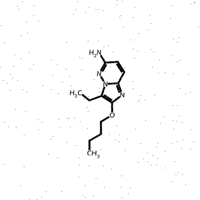 CCCCOc1nc2ccc(N)nn2c1CC